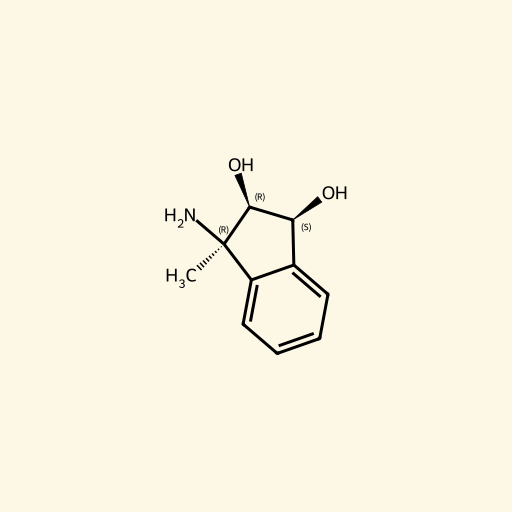 C[C@@]1(N)c2ccccc2[C@H](O)[C@@H]1O